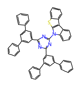 c1ccc(-c2cc(-c3ccccc3)cc(-c3nc(-c4cc(-c5ccccc5)cc(-c5ccccc5)c4)nc(-n4c5ccccc5c5c6ccccc6sc54)n3)c2)cc1